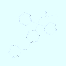 CS(=O)(=O)OS(c1ccccc1)(c1ccccc1)c1ccc(Oc2ccccc2)cc1